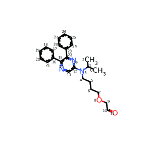 CC(C)N(CCCCOCC=O)c1cnc(-c2ccccc2)c(-c2ccccc2)n1